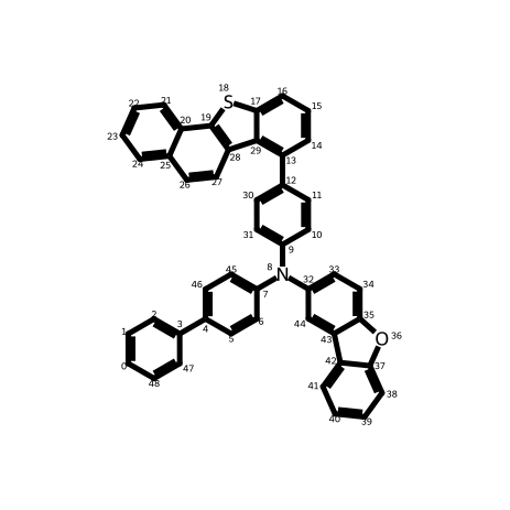 c1ccc(-c2ccc(N(c3ccc(-c4cccc5sc6c7ccccc7ccc6c45)cc3)c3ccc4oc5ccccc5c4c3)cc2)cc1